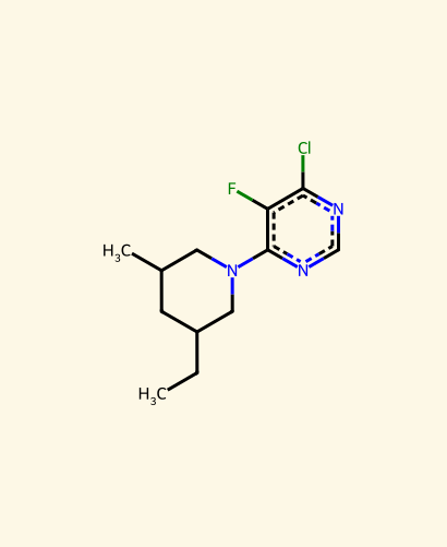 CCC1CC(C)CN(c2ncnc(Cl)c2F)C1